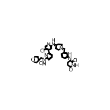 N#CC1(CNc2cccc(-c3cc(NC4CCN(Cc5cccc(NC6CCC(=O)NC6=O)c5)CC4)ncc3Cl)n2)CCOCC1